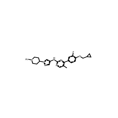 CC(=O)N1CCC(n2cc(Nc3ncc(C)c(-c4ccc(OCC5CC5)c(F)c4)n3)cn2)CC1